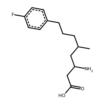 CC(CCCc1ccc(F)cc1)CC(N)CC(=O)O